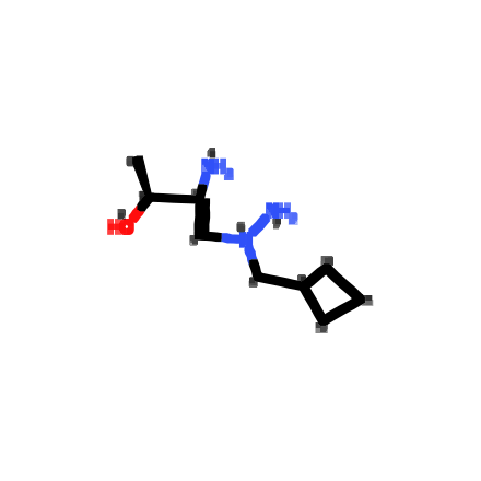 C[C@H](O)/C(N)=C/N(N)CC1CCC1